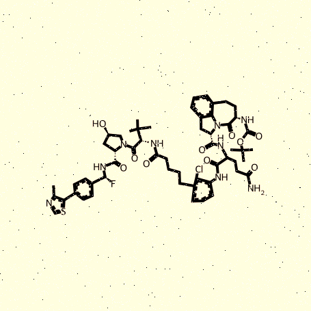 Cc1ncsc1-c1ccc([C@H](F)NC(=O)[C@@H]2C[C@@H](O)CN2C(=O)[C@@H](NC(=O)CCCCc2cccc(NC(=O)C(CCC(N)=O)NC(=O)[C@@H]3Cc4cccc5c4N3C(=O)[C@@H](NC(=O)OC(C)(C)C)CC5)c2Cl)C(C)(C)C)cc1